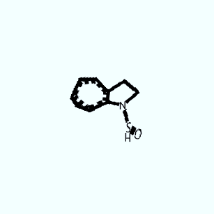 O=[SH]N1CCc2ccccc21